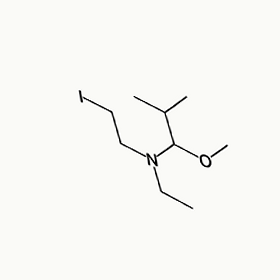 CCN(CCI)C(OC)C(C)C